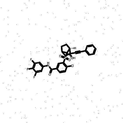 O=C(Nc1cc(F)c(F)c(F)c1)c1ccc(Cl)c(S(=O)(=O)[C@@H]2C3CC[C@H]2[C@](O)(C#Cc2ccccc2)C3)c1